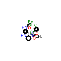 CC(C)(Oc1ccc(Cl)cc1Cl)C(=O)NC1CCCCC(Nc2ccc(NC(=O)CC(F)(F)F)cc2)C1